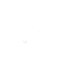 CC=C(C)C(=O)Oc1ccc(NC(C)=O)cc1